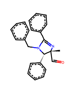 C[C@]1(C=O)N=C(c2ccccc2)N(Cc2ccccc2)[C@H]1c1ccccc1